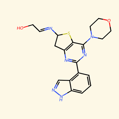 OC/C=N/C1Cc2nc(-c3cccc4[nH]ncc34)nc(N3CCOCC3)c2S1